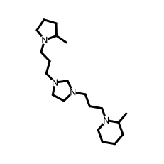 CC1CCCCN1CCCN1CCN(CCCN2CCCC2C)C1